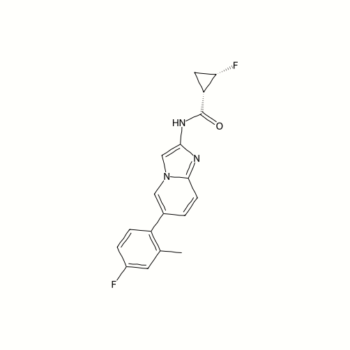 Cc1cc(F)ccc1-c1ccc2nc(NC(=O)[C@@H]3C[C@@H]3F)cn2c1